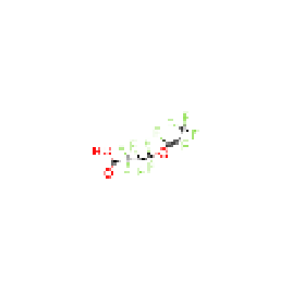 O=C(O)C(F)(F)C(F)(F)C(F)(F)OC(F)=C(F)C(F)(F)F